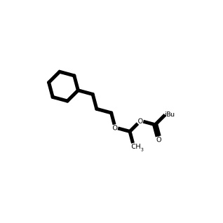 CCC(C)C(=O)OC(C)OCCCC1CCCCC1